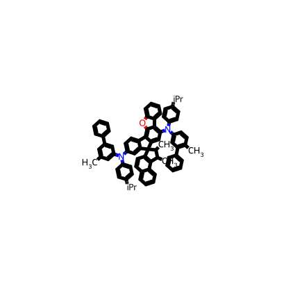 Cc1cc(-c2ccccc2)cc(N(c2ccc(C(C)C)cc2)c2ccc3c(c2)C2(c4ccc5ccccc5c4C(C)C2C)c2cc(N(c4ccc(C(C)C)cc4)c4ccc(C)c(-c5ccccc5)c4)c4c(oc5ccccc54)c2-3)c1